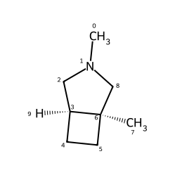 CN1C[C@@H]2CC[C@]2(C)C1